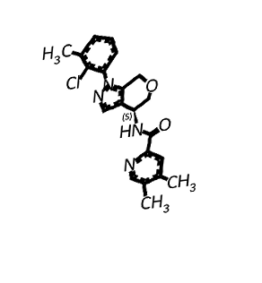 Cc1cnc(C(=O)N[C@@H]2COCc3c2cnn3-c2cccc(C)c2Cl)cc1C